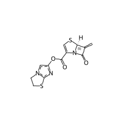 C=C1C(=O)N2C(C(=O)Oc3cn4c(n3)SCC4)=CS[C@@H]12